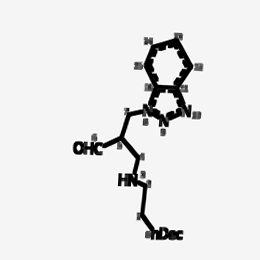 CCCCCCCCCCCCNCC(C=O)Cn1nnc2ccccc21